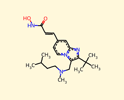 CC(C)CCN(C)Cc1c(C(C)(C)C)nc2cc(/C=C/C(=O)NO)ccn12